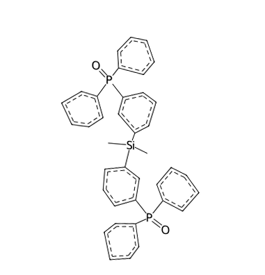 C[Si](C)(c1cccc(P(=O)(c2ccccc2)c2ccccc2)c1)c1cccc(P(=O)(c2ccccc2)c2ccccc2)c1